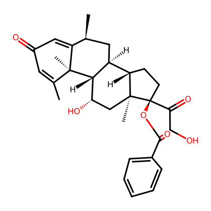 CC1=CC(=O)C=C2[C@@H](C)C[C@@H]3[C@H]([C@@H](O)C[C@@]4(C)[C@H]3CC[C@]4(OC(=O)c3ccccc3)C(=O)CO)[C@@]12C